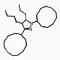 CCCCC1C(C2CCCCCCCCCC2)=NN(C2CCCCCCCCC2)C1CCC